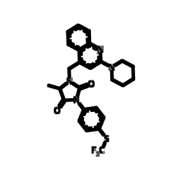 CC1C(=O)N(c2ccc(SC(F)(F)F)cc2)C(=O)N1Cc1cc(N2CCCCC2)nc2ccccc12